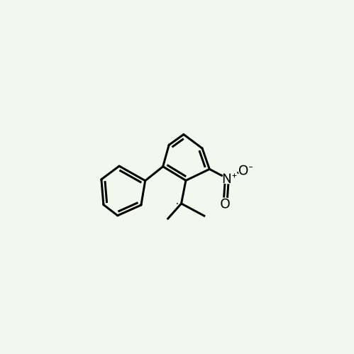 C[C](C)c1c(-c2ccccc2)cccc1[N+](=O)[O-]